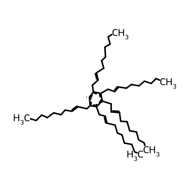 CCCCCCC/C=C/Cc1[c]c(C/C=C/CCCCCCC)c(C/C=C/CCCCCCC)c(C/C=C/CCCCCCC)c1C/C=C/CCCCCCC